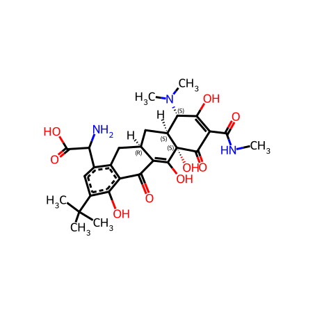 CNC(=O)C1=C(O)[C@@H](N(C)C)[C@@H]2C[C@@H]3Cc4c(C(N)C(=O)O)cc(C(C)(C)C)c(O)c4C(=O)C3=C(O)[C@]2(O)C1=O